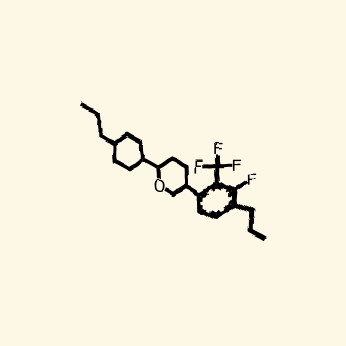 CCCc1ccc(C2CCC(C3CCC(CCC)CC3)OC2)c(C(F)(F)F)c1F